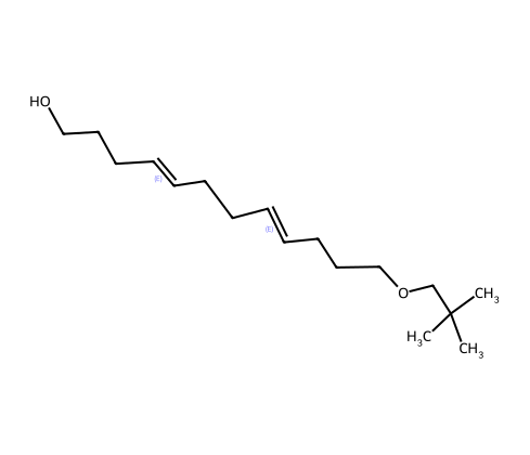 CC(C)(C)COCCC/C=C/CC/C=C/CCCO